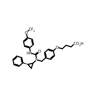 O=C(O)CCCOc1ccc(CN(C(=O)Nc2ccc(OC(F)(F)F)cc2)C2C[C@H]2c2ccccc2)cc1